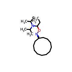 CCC(ON=C1CCCCCCCCCCC1)N(C(C)C)C(C)C